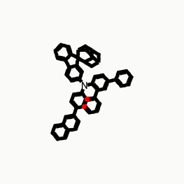 c1ccc(-c2ccc(N(c3ccc(-c4ccc5ccccc5c4)cc3)c3ccc4c(c3)C3(c5ccccc5-4)C4CC5CC(C4)CC3C5)c(-c3ccccc3)c2)cc1